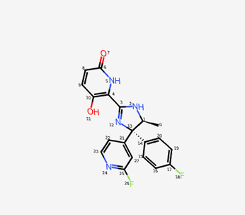 C[C@@H]1NC(c2[nH]c(=O)ccc2O)=N[C@]1(c1ccc(F)cc1)c1ccnc(F)c1